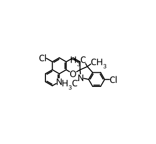 CN1c2ccc(Cl)cc2C(C)(C)C12C=Cc1cc(Cl)c3cccnc3c1O2